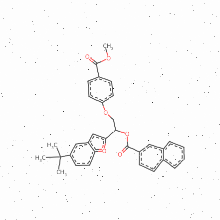 COC(=O)c1ccc(OCC(OC(=O)c2ccc3ccccc3c2)c2cc3cc(C(C)(C)C)ccc3o2)cc1